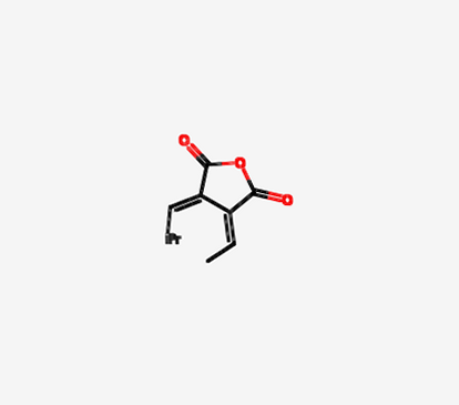 C/C=C1/C(=O)OC(=O)/C1=C/C(C)C